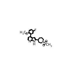 COc1ccc(F)cc1-c1ccnc2[nH]c(C3CCCN(S(C)(=O)=O)CC3)cc12